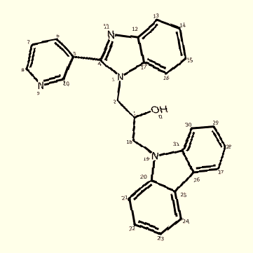 OC(Cn1c(-c2cccnc2)nc2ccccc21)Cn1c2ccccc2c2ccccc21